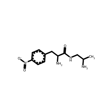 CC(N)CNC(=O)C(N)Cc1ccc([N+](=O)[O-])cc1